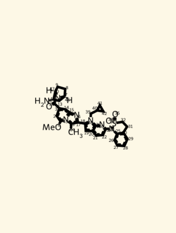 COc1cc(C(=O)N2[C@H]3CC[C@@H]2[C@H](N)C3)cc2nc(-c3cc4ccc(N5c6ccccc6CCS5(=O)=O)nc4n3CC3CC3)c(C)n12